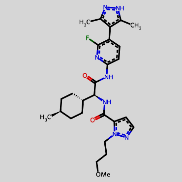 COCCCn1nccc1C(=O)N[C@H](C(=O)Nc1ccc(-c2c(C)n[nH]c2C)c(F)n1)[C@H]1CC[C@H](C)CC1